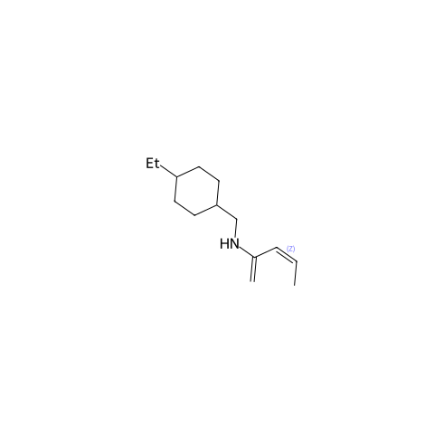 C=C(/C=C\C)NCC1CCC(CC)CC1